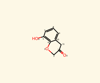 O=C1COc2c(O)cccc2C1